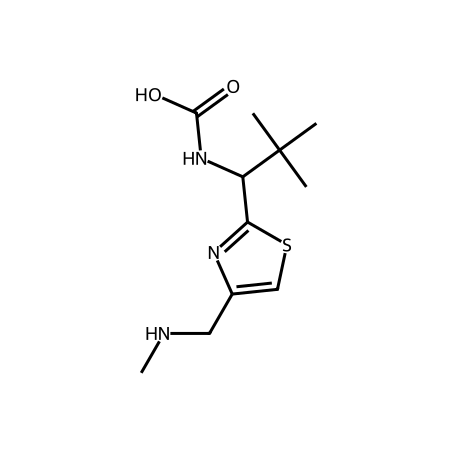 CNCc1csc(C(NC(=O)O)C(C)(C)C)n1